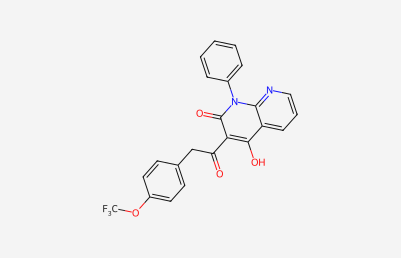 O=C(Cc1ccc(OC(F)(F)F)cc1)c1c(O)c2cccnc2n(-c2ccccc2)c1=O